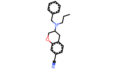 CCCN(Cc1ccccc1)C1COc2cc(C#N)ccc2C1